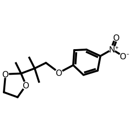 CC(C)(COc1ccc([N+](=O)[O-])cc1)C1(C)OCCO1